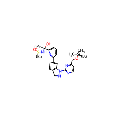 CCCC(O)(N[S@+]([O-])C(C)(C)C)c1cccc(-c2ccc3cnn(-c4nccc(CO[Si](C)(C)C(C)(C)C)n4)c3c2)n1